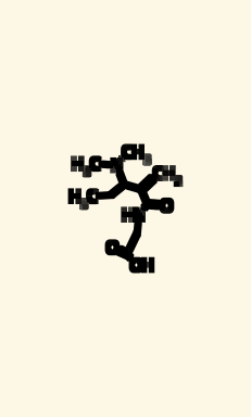 C=C(C(=O)NCC(=O)O)C(CC)N(C)C